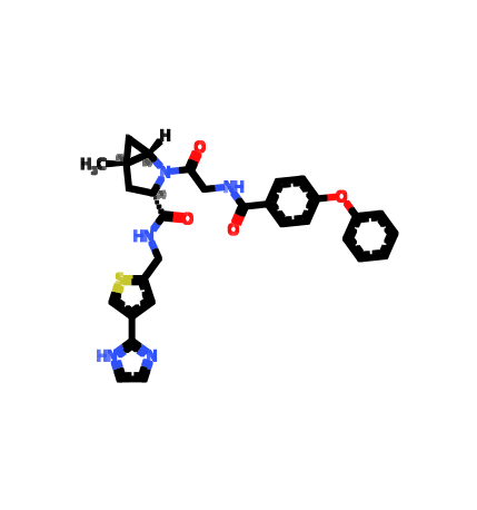 C[C@@]12C[C@@H]1N(C(=O)CNC(=O)c1ccc(Oc3ccccc3)cc1)[C@H](C(=O)NCc1cc(-c3ncc[nH]3)cs1)C2